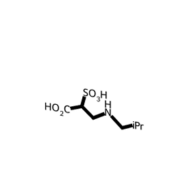 CC(C)CNCC(C(=O)O)S(=O)(=O)O